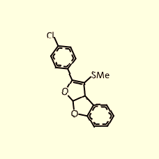 CSC1=C(c2ccc(Cl)cc2)OC2Oc3ccccc3C12